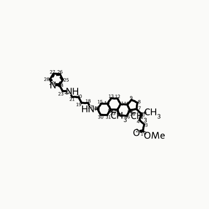 COC(=O)CC[C@@H](C)C1CCC2C3CCC4C[C@@H](NCCCCNCc5ccccn5)CC[C@]4(C)C3CC[C@@]21C